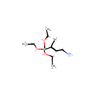 [2H]C(CCN)[Si](OCC)(OCC)OCC